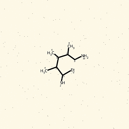 CCC(S)C(C)C(C)C(C)CN